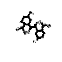 C=C(C(=C)C1CC(C)CCC1C(C)C)C1CC(C)CCC1C(C)C